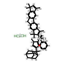 Cl.Cl.[CH2]=[Zr]([CH2]C)([C]1=CC(C2(C)C3CC4CC(C3)CC2C4)=CC1C)([C]1=C(C)c2cc3c(cc2C1(C)C)Cc1cc2c(cc1-3)C(C)=CC2(C)C)[c]1ccccc1